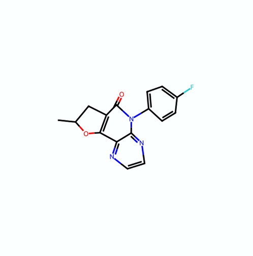 CC1Cc2c(c3nccnc3n(-c3ccc(F)cc3)c2=O)O1